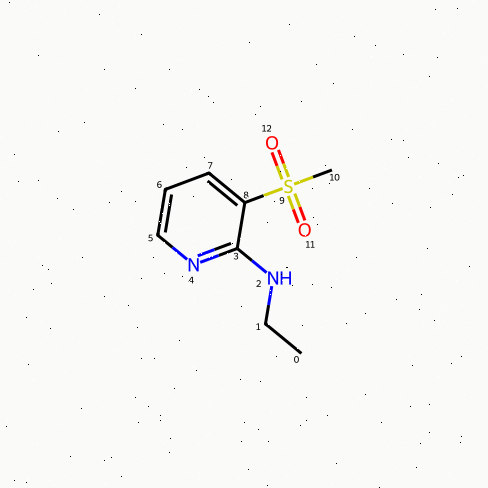 CCNc1ncccc1S(C)(=O)=O